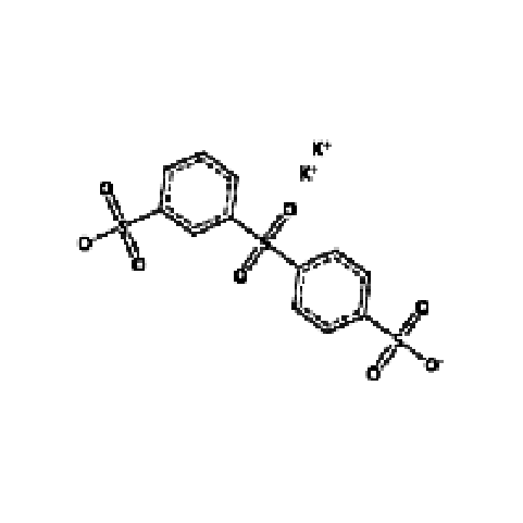 O=S(=O)([O-])c1ccc(S(=O)(=O)c2cccc(S(=O)(=O)[O-])c2)cc1.[K+].[K+]